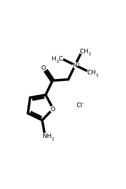 C[N+](C)(C)CC(=O)c1ccc(N)o1.[Cl-]